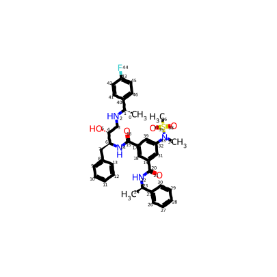 C[C@H](NC[C@@H](O)[C@H](Cc1ccccc1)NC(=O)c1cc(C(=O)N[C@H](C)c2ccccc2)cc(N(C)S(C)(=O)=O)c1)c1ccc(F)cc1